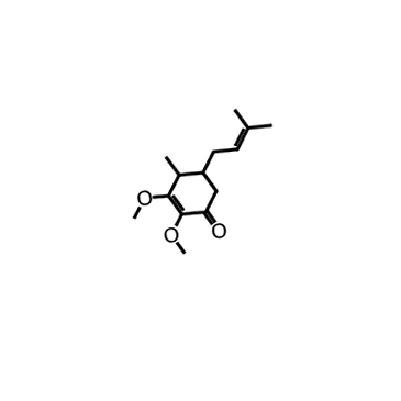 COC1=C(OC)C(C)C(CC=C(C)C)CC1=O